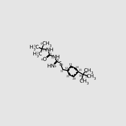 CC(C)(C)NC(=O)NC(=N)SCc1ccc(C(C)(C)C)cc1